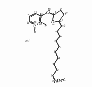 CCCCCCCCCCCCCCCCCCCCC1CCC(Oc2ccc[n+](C)c2C)O1.[I-]